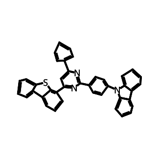 c1ccc(-c2cc(-c3cccc4c3sc3ccccc34)nc(-c3ccc(-n4c5ccccc5c5ccccc54)cc3)n2)cc1